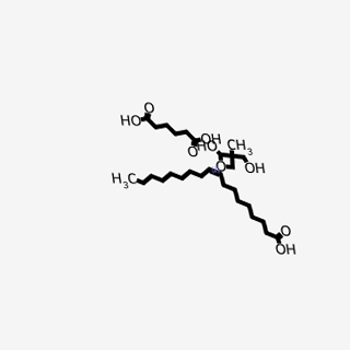 CC1(CO)COC1O.CCCCCCCC/C=C\CCCCCCCC(=O)O.O=C(O)CCCCC(=O)O